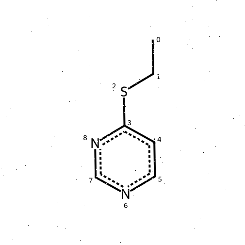 CCSc1[c]cncn1